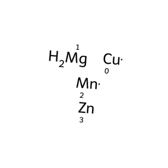 [Cu].[MgH2].[Mn].[Zn]